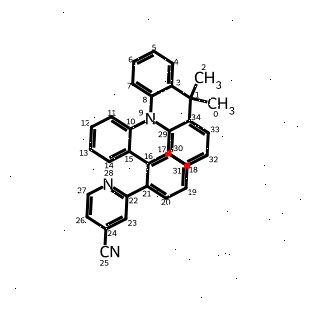 CC1(C)c2ccccc2N(c2ccccc2-c2ccccc2-c2cc(C#N)ccn2)c2ccccc21